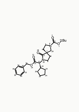 CC(C)(C)OC(=O)N1CC[C@]2(CCN([C@H](C(=O)OCc3ccccc3)C3CCCC3)C2=O)C1